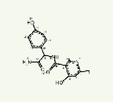 Cc1cc(O)c(C(=O)NC(C(N)=O)c2ccc(O)cc2)cn1